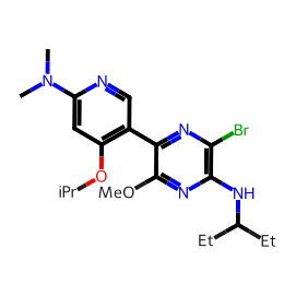 CCC(CC)Nc1nc(OC)c(-c2cnc(N(C)C)cc2OC(C)C)nc1Br